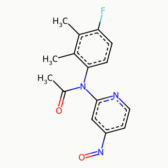 CC(=O)N(c1cc(N=O)ccn1)c1ccc(F)c(C)c1C